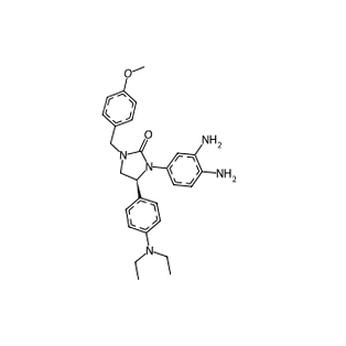 CCN(CC)c1ccc([C@H]2CN(Cc3ccc(OC)cc3)C(=O)N2c2ccc(N)c(N)c2)cc1